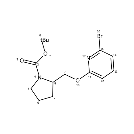 CC(C)(C)OC(=O)N1CCCC1COc1cccc(Br)n1